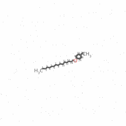 CCCCCCCCCCCCCCCCOc1ccc(CC)cc1